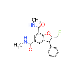 CNC(=O)c1cc(C(=O)NC)c2c(c1)[C@H](c1ccccc1)[C@@H](CF)O2